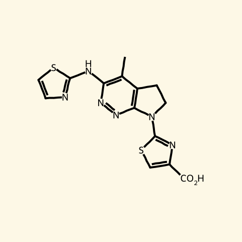 Cc1c(Nc2nccs2)nnc2c1CCN2c1nc(C(=O)O)cs1